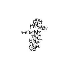 C=C[C@@H]1C[C@]1(NC(=O)[C@@H]1C[C@@H](O)CN1C(=O)[C@@H](NC(=O)OC(C)(C)C)C(C)(C)C)C(=O)NS(=O)(=O)C1(C)CC1